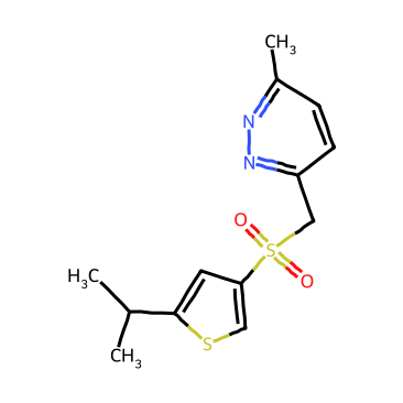 Cc1ccc(CS(=O)(=O)c2csc(C(C)C)c2)nn1